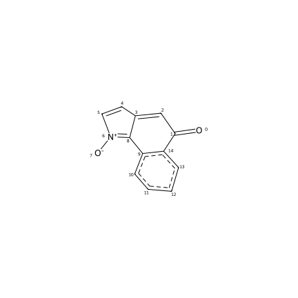 O=C1C=C2C=C[N+]([O-])=C2c2ccccc21